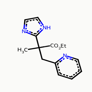 CCOC(=O)C(C)(Cc1ccccn1)c1ncc[nH]1